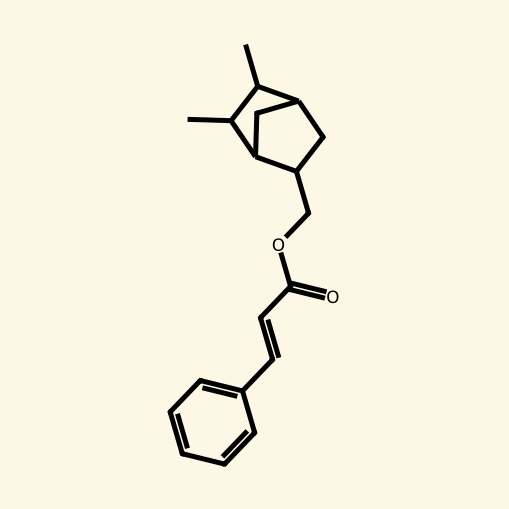 CC1C2CC(COC(=O)/C=C/c3ccccc3)C(C2)C1C